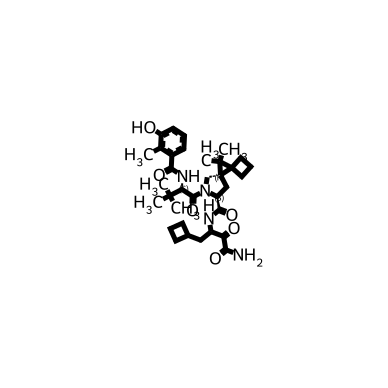 Cc1c(O)cccc1C(=O)N[C@H](C(=O)N1C[C@]2(C[C@H]1C(=O)NC(CC1CCC1)C(=O)C(N)=O)C(C)(C)C21CCC1)C(C)(C)C